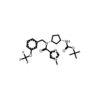 Cn1cnc(C(=O)N(Cc2cccc(OC(F)(F)F)c2)[C@@H]2CC[C@H](NC(=O)OC(C)(C)C)C2)c1